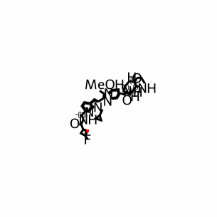 COc1cc(C(=O)N2[C@H]3CC[C@@H]2[C@@H]2NCCO[C@@H]2C3)cc2nc(-c3cc4ccc([C@@H](C)NC(=O)C56CC(F)(C5)C6)nc4n3CC3CC3)c(C)n12